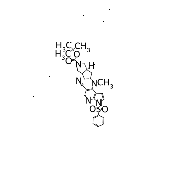 CN(c1c(C#N)cnc2c1ccn2S(=O)(=O)c1ccccc1)C1CC2CN(C(=O)OC(C)(C)C)C[C@H]2C1